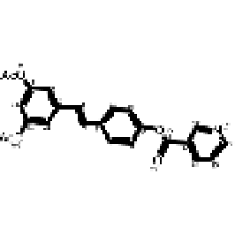 CC(=O)Oc1cc(/C=C/c2ccc(OC(=O)c3cccnc3)cc2)cc(OC(C)=O)c1